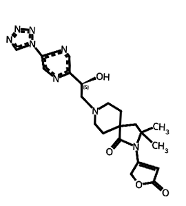 CC1(C)CC2(CCN(C[C@H](O)c3cnc(-n4cnnn4)cn3)CC2)C(=O)N1C1=CC(=O)OC1